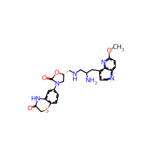 COc1ccc2nccc(CC(N)CNC[C@@H]3CN(c4ccc5c(c4)NC(=O)CS5)C(=O)O3)c2n1